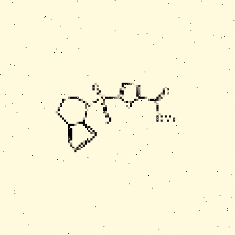 COC(=O)c1ccc(S(=O)(=O)N2CCCc3ccccc32)o1